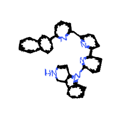 C1=Cc2c(c3ccccc3n2-c2cccc(-c3cccc(-c4cccc(-c5ccc6ccccc6c5)n4)n3)n2)CN1